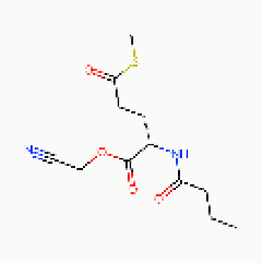 CCCC(=O)N[C@@H](CCC(=O)SC)C(=O)OCC#N